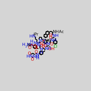 CC(=O)N[C@H](Cc1ccc2ccccc2c1)C(=O)N[C@H](Cc1ccc(Cl)cc1)C(=O)N[C@H](Cc1cccnc1)C(=O)N[C@@H](CO)C(=O)N[C@@H](Cc1ccc(NC(=O)[C@@H]2CC(=O)NC(=O)N2)cc1)C(=O)N[C@H](Cc1ccc(NC(N)=O)cc1)C(=O)N(C(=O)[C@@H](N)CC(C)C)[C@@H](CCCCNC(C)C)C(=O)N1CCC[C@H]1[C]=O